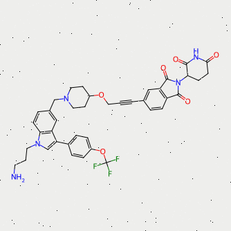 NCCCn1cc(-c2ccc(OC(F)(F)F)cc2)c2cc(CN3CCC(OCC#Cc4ccc5c(c4)C(=O)N(C4CCC(=O)NC4=O)C5=O)CC3)ccc21